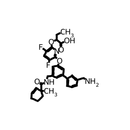 CCC(Oc1nc(Oc2cc(CNC(=O)C3(C)C=CCCC3)cc(-c3cccc(CN)c3)c2)c(F)cc1F)C(=O)O